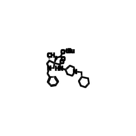 C[C@H]1CN(Cc2ccccc2)C[C@@]1(CC(=O)OC(C)(C)C)C(=O)NC1CCN(CC2CCCCC2)CC1